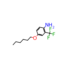 CCCCCCOc1ccc(N)c(C(F)(F)F)c1